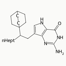 CCCCCCCC(Cc1c[nH]c2c(=O)[nH]c(N)nc12)C12CCC(CC1)CC2